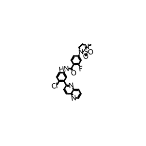 CN1CCN(c2ccc(C(=O)Nc3ccc(Cl)c(-c4ccc5ncccc5n4)c3)c(F)c2)S1(=O)=O